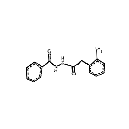 Cc1ccccc1CC(=O)NNC(=O)c1ccccc1